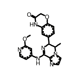 COc1cc(NC2=NC(c3ccc4c(c3)NC(=O)CO4)C(C)n3ccnc32)ccn1